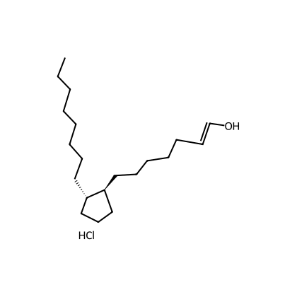 CCCCCCCC[C@H]1CCC[C@@H]1CCCCCC=CO.Cl